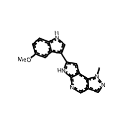 COc1ccc2[nH]cc(-c3cc4c(ncc5cnn(C)c54)[nH]3)c2c1